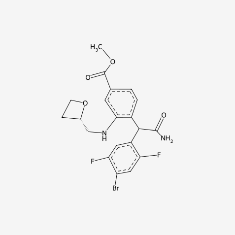 COC(=O)c1ccc(C(C(N)=O)c2cc(F)c(Br)cc2F)c(NC[C@@H]2CCO2)c1